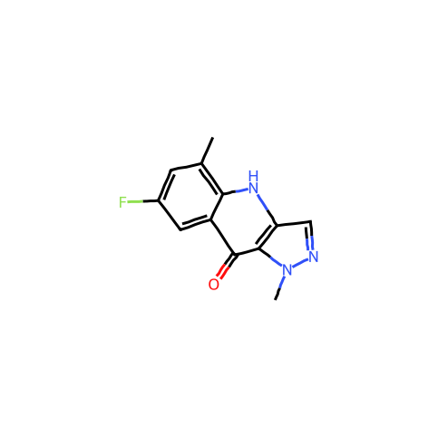 Cc1cc(F)cc2c(=O)c3c(cnn3C)[nH]c12